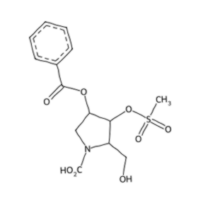 CS(=O)(=O)OC1C(OC(=O)c2ccccc2)CN(C(=O)O)C1CO